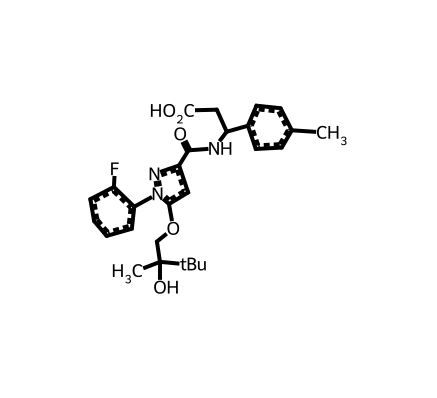 Cc1ccc(C(CC(=O)O)NC(=O)c2cc(OCC(C)(O)C(C)(C)C)n(-c3ccccc3F)n2)cc1